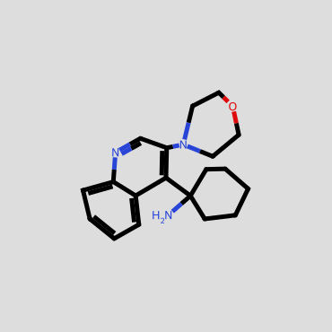 NC1(c2c(N3CCOCC3)cnc3ccccc23)CCCCC1